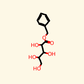 O=C(OCc1ccccc1)C(O)C(O)C(O)CO